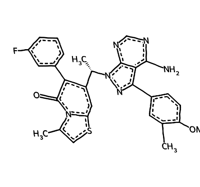 COc1ccc(-c2nn([C@@H](C)c3cc4scc(C)n4c(=O)c3-c3cccc(F)c3)c3ncnc(N)c23)cc1C